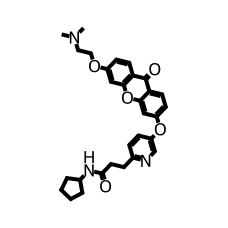 CN(C)CCOc1ccc2c(=O)c3ccc(Oc4ccc(CCC(=O)NC5CCCC5)nc4)cc3oc2c1